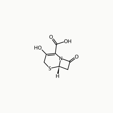 O=C(O)C1=C(O)CS[C@H]2CC(=O)N12